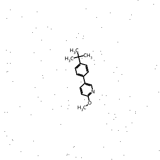 COc1ccc(-c2ccc(C(C)(C)C)cc2)cn1